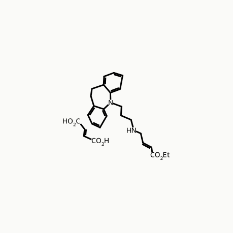 CCOC(=O)/C=C/CNCCCN1c2ccccc2CCc2ccccc21.O=C(O)/C=C/C(=O)O